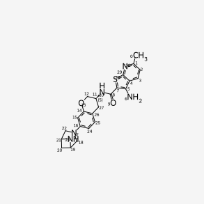 Cc1ccc2c(N)c(C(=O)N[C@@H]3COc4cc(N5CC6CC(C5)N6)ccc4C3)sc2n1